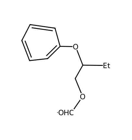 CCC(CO[C]=O)Oc1ccccc1